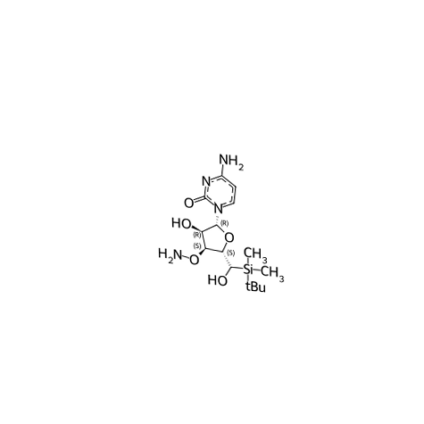 CC(C)(C)[Si](C)(C)C(O)[C@H]1O[C@@H](n2ccc(N)nc2=O)[C@H](O)[C@@H]1ON